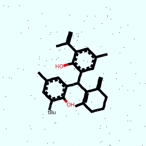 C=C1CCCC(C)=C1C(c1cc(C)cc(C(=C)C)c1O)c1cc(C)cc(C(C)(C)C)c1O